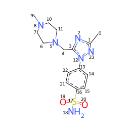 Cc1nc(CN2CCN(C)CC2)n(-c2ccc(S(N)(=O)=O)cc2)n1